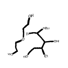 CCCCC(CC)C(O)C(CC)CO.OCCOCCO